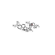 CN1C(=O)[C@]23C[C@H]4C(C)(C)[C@@]5(C[C@@]41CN2CC[C@@]3(C)O)C(=O)Nc1c5ccc2c1OC=CC(C)(C)O2